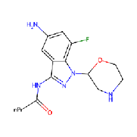 CCCC(=O)Nc1nn(C2CNCCO2)c2c(F)cc(N)cc12